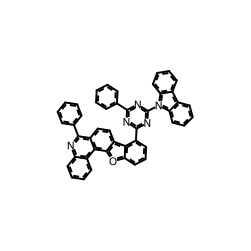 c1ccc(-c2nc(-c3cccc4oc5c(ccc6c(-c7ccccc7)nc7ccccc7c65)c34)nc(-n3c4ccccc4c4ccccc43)n2)cc1